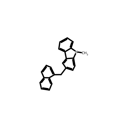 Cn1c2ccccc2c2cc(Cc3cccc4ccccc34)ccc21